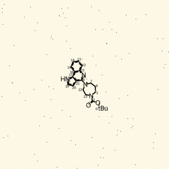 CC(C)(C)OC(=O)N1CCCN(c2nc3ccccc3c3[nH]ccc23)CC1